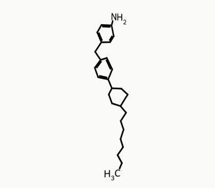 CCCCCCCCC1CCC(c2ccc(Cc3ccc(N)cc3)cc2)CC1